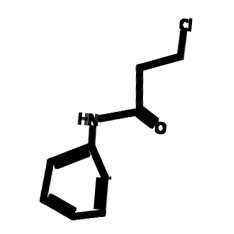 O=C(CCCl)Nc1[c]cccc1